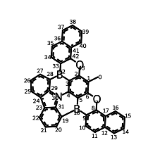 Cc1c2c3c4c5c1Oc1c(ccc6ccccc16)B5c1cccc5c6cccc(c6n-4c15)B3c1ccc3ccccc3c1O2